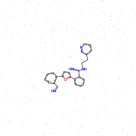 N=Cc1ccccc1-c1ccc(-c2ccccc2C(=N)NCCc2cccnc2)o1